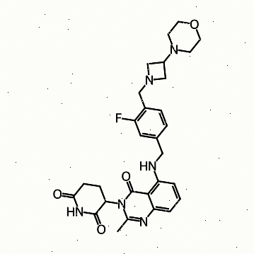 Cc1nc2cccc(NCc3ccc(CN4CC(N5CCOCC5)C4)c(F)c3)c2c(=O)n1C1CCC(=O)NC1=O